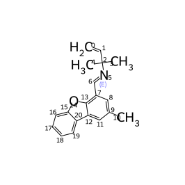 C=CC(C)(C)/N=C/c1cc(C)cc2c1oc1ccccc12